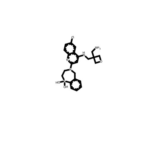 NCC1(CNc2cc(N3CCS(O)(O)c4ccccc4C3)nc3ccc(Cl)cc23)COC1